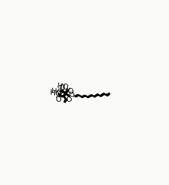 CCCCCCCCCCCCOC(=O)C(C(=O)O)(C(=O)O)C(CC)C(=O)O